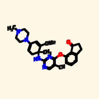 COC1=CC(N2CCN(C)CC2)=CCC1(C)Nc1ncc(C#N)c(Oc2cccc3c2C(=O)CC3)n1